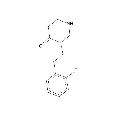 O=C1CCNCC1CCc1ccccc1F